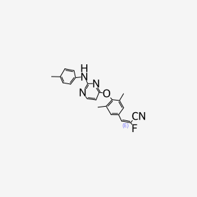 Cc1ccc(Nc2nccc(Oc3c(C)cc(/C=C(/F)C#N)cc3C)n2)cc1